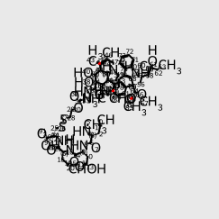 C#CC[C@H](NC)C(=O)N[C@@H](CC(=O)O)C(=O)N[C@@H](CC#C)C(=O)N[C@@H](CSSCCOC(=O)NNC(=O)[C@@]1(O)[C@H](O)[C@]2(CC)C=C(C)CN3CC[C@@]4(c5cc([C@](CCC[C@@](C)(O)CC)(C(=O)OC)c6[nH]c7ccccc7c6CCNC)c(OC)cc5N(C)[C@@H]14)[C@@H]32)C(=O)O